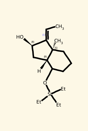 C/C=C1/[C@H](O)C[C@H]2C(O[Si](CC)(CC)CC)CCC[C@]12C